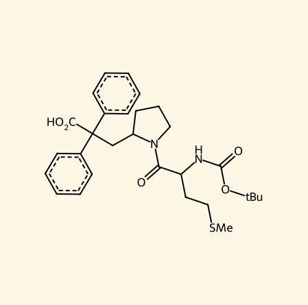 CSCCC(NC(=O)OC(C)(C)C)C(=O)N1CCCC1CC(C(=O)O)(c1ccccc1)c1ccccc1